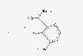 CCCCC(O)c1nccc(C(C)C)c1F